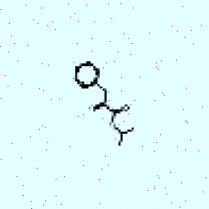 CC(C)OC(=O)C(=O)Cc1ccccc1